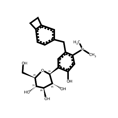 CN(C)c1cc(O)c([C@@H]2O[C@H](CO)[C@@H](O)[C@H](O)[C@H]2O)cc1Cc1ccc2c(c1)CC2